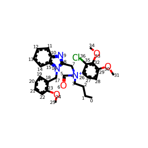 CCCC[N+](C=O)(Cc1nc2ccccc2n1Cc1ccccc1OC)c1ccc(OC)c(OC)c1Cl